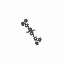 N#Cc1c2ccc(C=Cc3ccc(N(c4ccccc4)c4ccccc4)cc3)cc2c(C#N)c2ccc(C=Cc3ccc(N(c4ccccc4)c4ccccc4)cc3)cc12